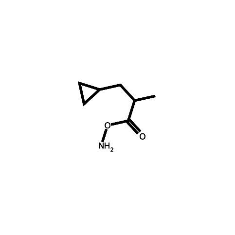 CC(CC1CC1)C(=O)ON